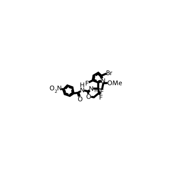 COCC[C@]1(c2nc(Br)ccc2F)N=C(NC(=O)c2ccc([N+](=O)[O-])cc2)OCC1(F)F